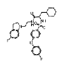 O=C(NCCN1CCc2cc(F)ccc21)C(CC1CCCCC1)NS(=O)(=O)c1ccc(Oc2ccc(F)cc2)cc1